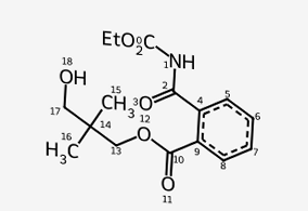 CCOC(=O)NC(=O)c1ccccc1C(=O)OCC(C)(C)CO